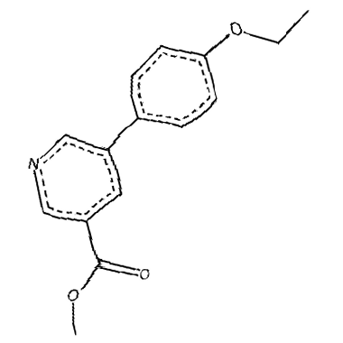 CCOc1ccc(-c2cncc(C(=O)OC)c2)cc1